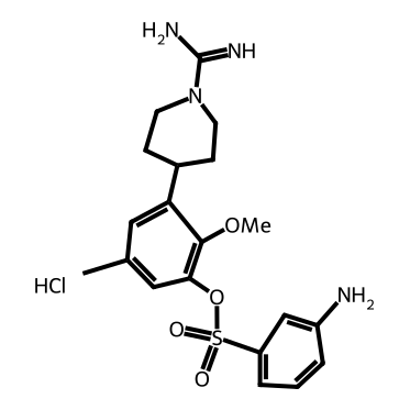 COc1c(OS(=O)(=O)c2cccc(N)c2)cc(C)cc1C1CCN(C(=N)N)CC1.Cl